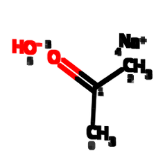 CC(C)=O.[Na+].[OH-]